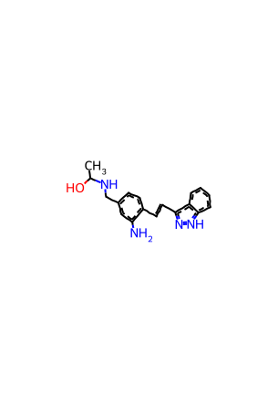 CC(O)NCc1ccc(C=Cc2n[nH]c3ccccc23)c(N)c1